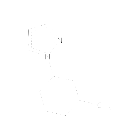 CC1CCCC(n2cccn2)C1